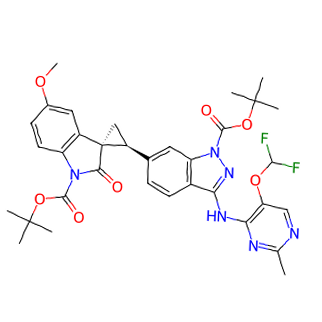 COc1ccc2c(c1)[C@]1(C[C@H]1c1ccc3c(Nc4nc(C)ncc4OC(F)F)nn(C(=O)OC(C)(C)C)c3c1)C(=O)N2C(=O)OC(C)(C)C